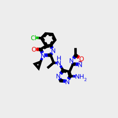 Cc1nc(-c2c(N)ncnc2NC(C)c2nc3cccc(Cl)c3c(=O)n2C2CC2)no1